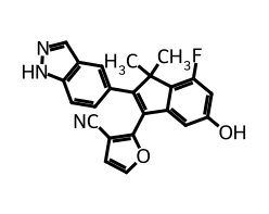 CC1(C)C(c2ccc3[nH]ncc3c2)=C(c2occc2C#N)c2cc(O)cc(F)c21